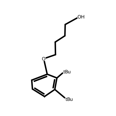 CC(C)(C)c1[c]ccc(OCCCCO)c1C(C)(C)C